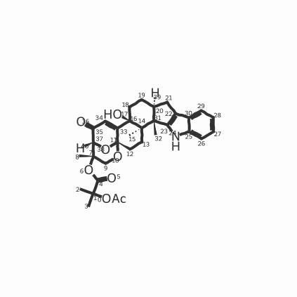 CC(=O)OC(C)(C)C(=O)O[C@@]1(C)CO[C@@]23CC[C@@]4(C)[C@@](O)(CC[C@H]5Cc6c([nH]c7ccccc67)[C@@]54C)C2=CC(=O)[C@@H]1O3